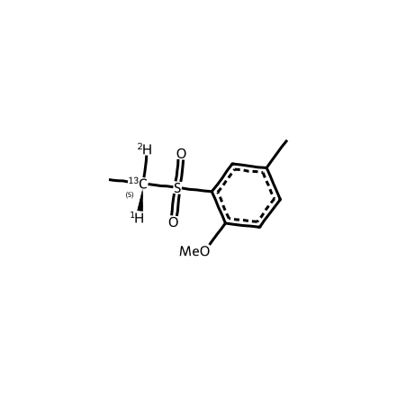 [1H][13C@]([2H])(C)S(=O)(=O)c1cc(C)ccc1OC